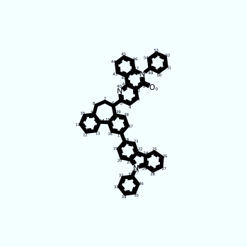 O=c1c2ccc(C3CCc4ccccc4-c4cc(-c5ccc6c(c5)c5ccccc5n6-c5ccccc5)ccc43)nc2c2ccccc2n1-c1ccccc1